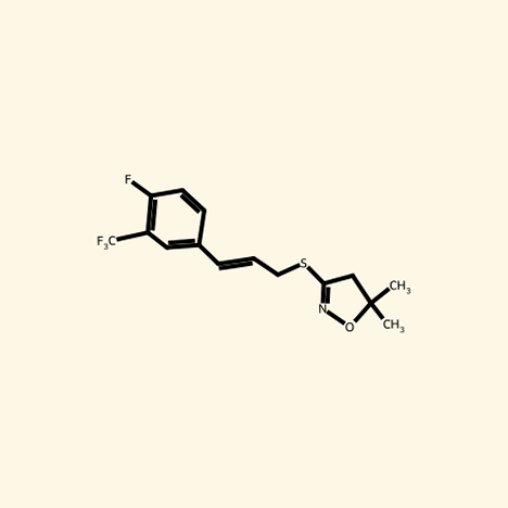 CC1(C)CC(SC/C=C/c2ccc(F)c(C(F)(F)F)c2)=NO1